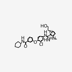 CNc1ccn(CCO)c1C(=N)Nc1ccc(Oc2cccc(C(=O)NC3CCCCC3)c2)c(Cl)c1